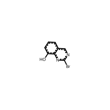 Oc1cccc2cnc(Br)nc12